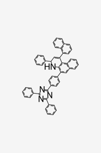 C1=C(c2cccc3ccccc23)c2c(c(-c3ccc(-c4nc(-c5ccccc5)nc(-c5ccccc5)n4)cc3)cc3ccccc23)NC1c1ccccc1